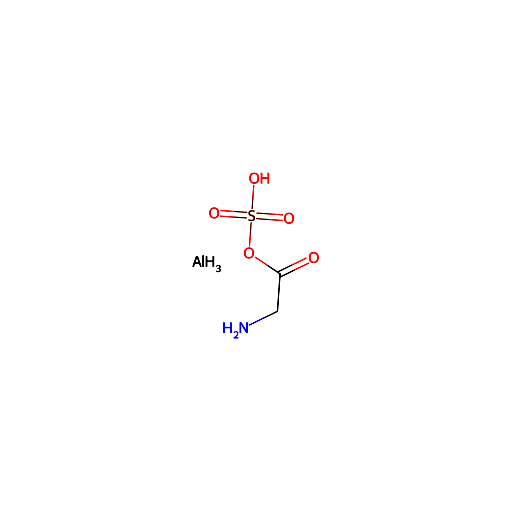 NCC(=O)OS(=O)(=O)O.[AlH3]